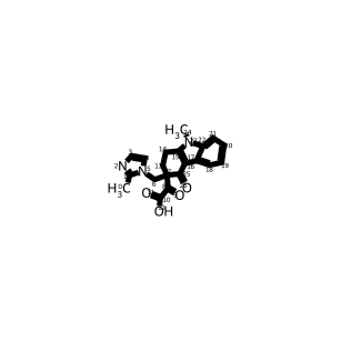 Cc1nccn1CC1(C(=O)C(=O)O)CCc2c(c3ccccc3n2C)C1=O